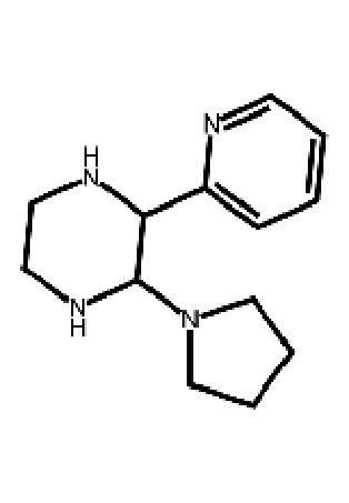 c1ccc(C2NCCNC2N2CCCC2)nc1